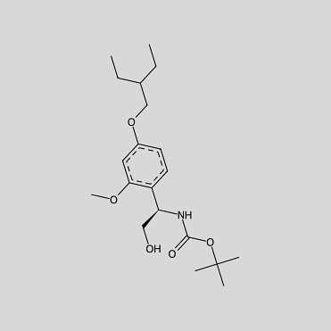 CCC(CC)COc1ccc([C@H](CO)NC(=O)OC(C)(C)C)c(OC)c1